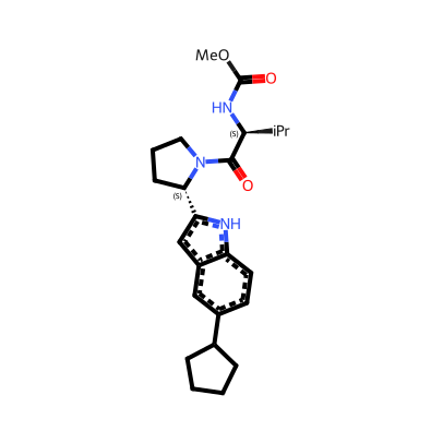 COC(=O)N[C@H](C(=O)N1CCC[C@H]1c1cc2cc(C3CCCC3)ccc2[nH]1)C(C)C